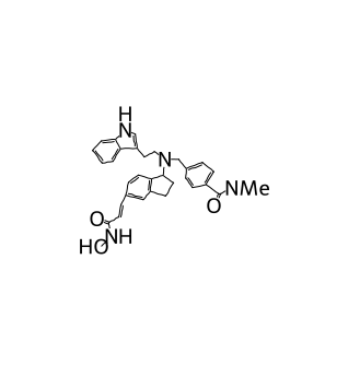 CNC(=O)c1ccc(CN(CCc2c[nH]c3ccccc23)C2CCc3cc(C=CC(=O)NO)ccc32)cc1